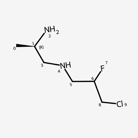 C[C@@H](N)CNCC(F)CCl